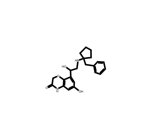 O=C1COc2c(cc(O)cc2C(O)CNC2(Cc3ccccc3)CCCC2)N1